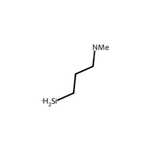 CNCCC[SiH2]